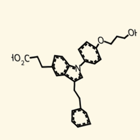 O=C(O)CCc1ccc2c(c1)c(CCc1ccccc1)cn2-c1ccc(OCCCO)cc1